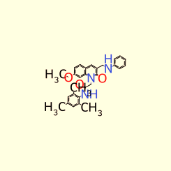 COc1ccc2cc(CNc3ccccc3)c(=O)n(CC(=O)Nc3c(C)cc(C)cc3C)c2c1